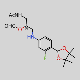 CC(=O)NC[C@@H](CNc1ccc(C2OC(C)(C)C(C)(C)O2)c(F)c1)OC=O